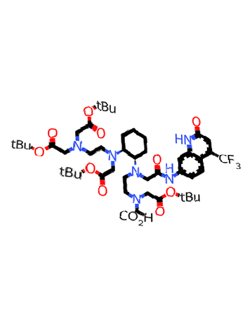 CC(C)(C)OC(=O)CN(CCN(CC(=O)Nc1ccc2c(C(F)(F)F)cc(=O)[nH]c2c1)[C@H]1CCCC[C@@H]1N(CCN(CC(=O)OC(C)(C)C)CC(=O)OC(C)(C)C)CC(=O)OC(C)(C)C)CC(=O)O